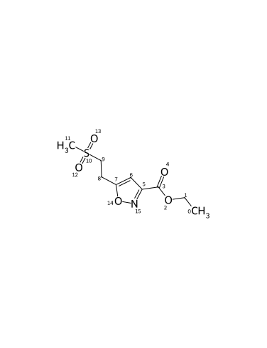 CCOC(=O)c1cc(CCS(C)(=O)=O)on1